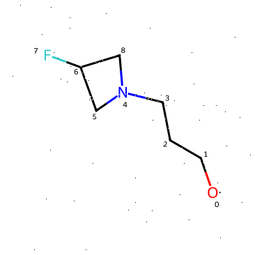 [O]CCCN1CC(F)C1